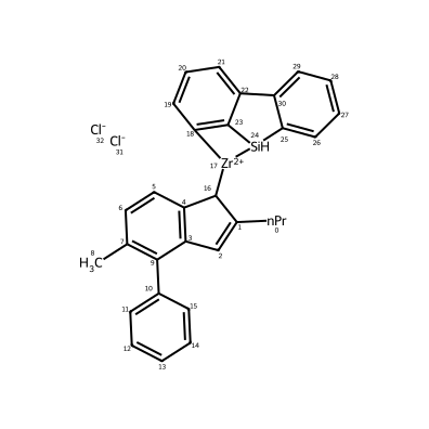 CCCC1=Cc2c(ccc(C)c2-c2ccccc2)[CH]1[Zr+2]1[c]2cccc3c2[SiH]1c1ccccc1-3.[Cl-].[Cl-]